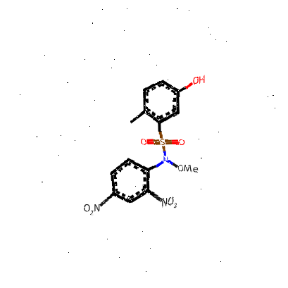 CON(c1ccc([N+](=O)[O-])cc1[N+](=O)[O-])S(=O)(=O)c1cc(O)ccc1C